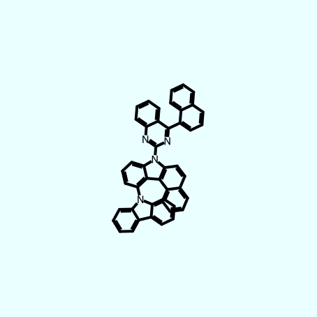 c1ccc2c(-c3nc(-n4c5cccc(-n6c7ccccc7c7ccccc76)c5c5c6ccccc6ccc54)nc4ccccc34)cccc2c1